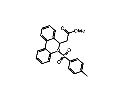 COC(=O)CC1c2ccccc2-c2ccccc2N1S(=O)(=O)c1ccc(C)cc1